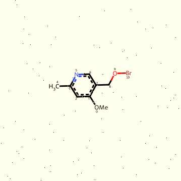 COc1cc(C)ncc1COBr